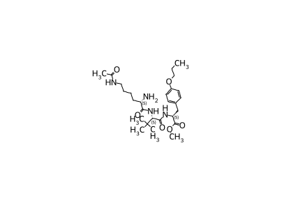 CCCOc1ccc(C[C@H](NC(=O)[C@@H](NC(=O)[C@@H](N)CCCCNC(C)=O)C(C)(C)C)C(=O)OC)cc1